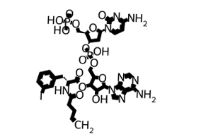 C=CCCC(=O)N[C@H](Cc1cccc(I)c1)C(=O)OC1C(COP(=O)(O)O[C@H]2C[C@H](n3ccc(N)nc3=O)O[C@@H]2COP(=O)(O)O)OC(n2cnc3c(N)ncnc32)C1O